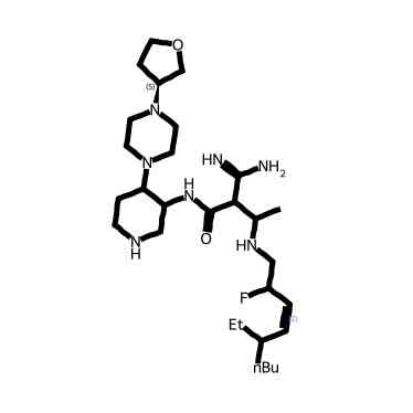 CCCCC(/C=C\C(F)CNC(C)C(C(=N)N)C(=O)NC1CNCCC1N1CCN([C@H]2CCOC2)CC1)CC